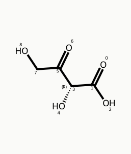 O=C(O)[C@H](O)C(=O)CO